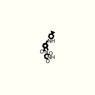 O=C1CCC(N2Cc3cc(CNC4CCC5(CC4)CC5)ccc3C2=O)C(=O)N1